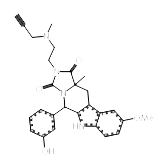 C#CCN(C)CCN1C(=O)N2C(c3cccc(O)c3)c3[nH]c4ccc(OC)cc4c3CC2(C)C1=O